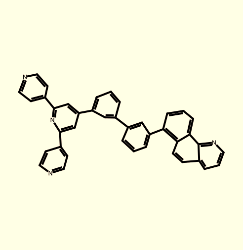 c1cc(-c2cccc(-c3cccc4c3ccc3cccnc34)c2)cc(-c2cc(-c3ccncc3)nc(-c3ccncc3)c2)c1